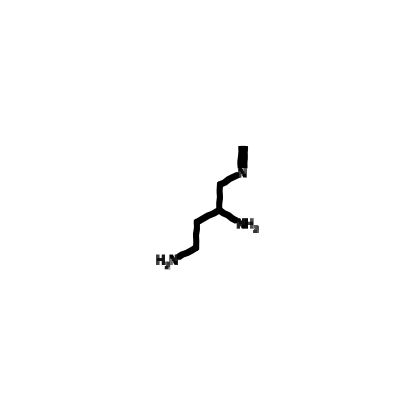 C=NCC(N)CCN